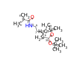 C=C(C)C(=O)NCCC[SiH2]C(O[Si](C)(C)C)O[Si](C)(C)C